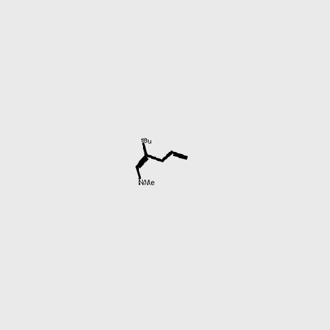 C=CC/C(=C\NC)C(C)(C)C